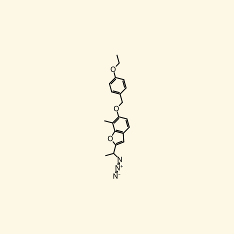 CCOc1ccc(COc2ccc3cc(C(C)N=[N+]=[N-])oc3c2C)cc1